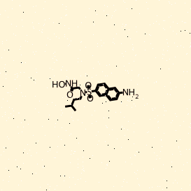 CC(C)CCN(CC(=O)NO)S(=O)(=O)c1ccc2cc(N)ccc2c1